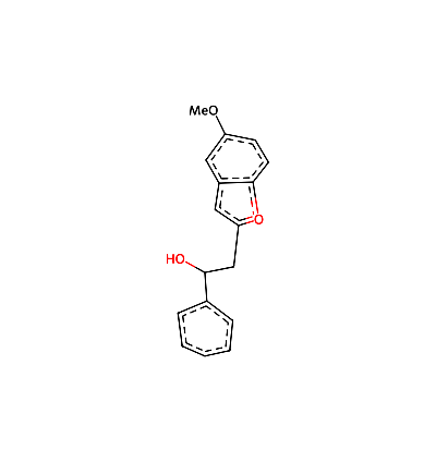 COc1ccc2oc(CC(O)c3ccccc3)cc2c1